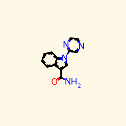 NC(=O)c1cn(-c2cnccn2)c2ccccc12